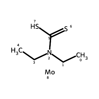 CCN(CC)C(=S)S.[Mo]